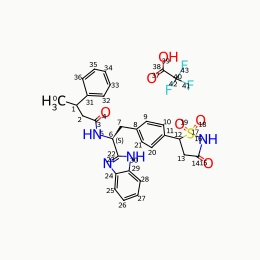 CC(CC(=O)N[C@@H](Cc1ccc(C2CC(=O)NS2(=O)=O)cc1)c1nc2ccccc2[nH]1)c1ccccc1.O=C(O)C(F)(F)F